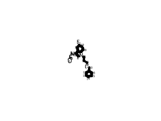 O=C=Nc1cn(CCCOCc2ccccc2)c2ccc(F)cc12